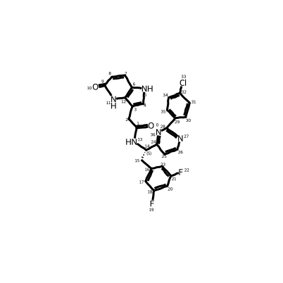 O=C(Cc1c[nH]c2ccc(=O)[nH]c12)N[C@@H](Cc1cc(F)cc(F)c1)c1ccnc(-c2ccc(Cl)cc2)n1